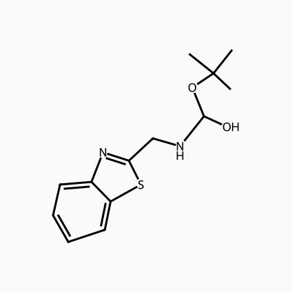 CC(C)(C)OC(O)NCc1nc2ccccc2s1